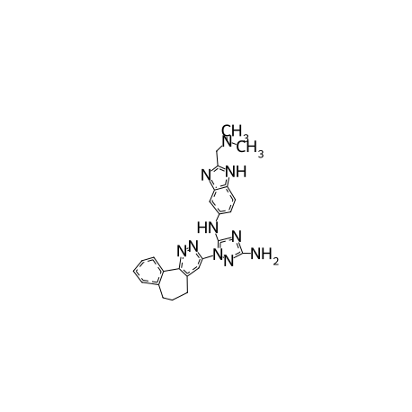 CN(C)Cc1nc2cc(Nc3nc(N)nn3-c3cc4c(nn3)-c3ccccc3CCC4)ccc2[nH]1